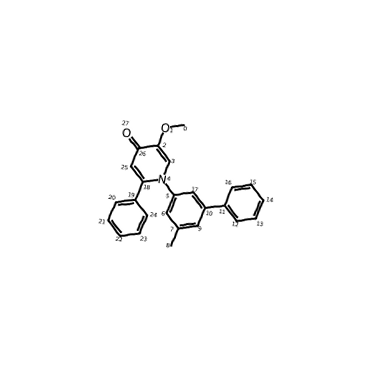 COc1cn(-c2cc(C)cc(-c3ccccc3)c2)c(-c2ccccc2)cc1=O